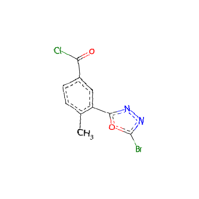 Cc1ccc(C(=O)Cl)cc1-c1nnc(Br)o1